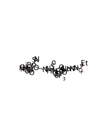 CCC12CC(C3=C(CN4CCN(c5ccc(C(=O)NS(=O)(=O)c6ccc(N[C@H](CCN7CCN(CCCCOc8cc(-c9scnc9C)ccc8CNC(=O)[C@@H]8CCCN8C(=O)C(c8cc(C)no8)C(C)C)CC7)CSc7ccccc7)c(S(=O)(=O)C(F)(F)F)c6)cc5)CC4)CCC(C)(C)C3)(C1)C2